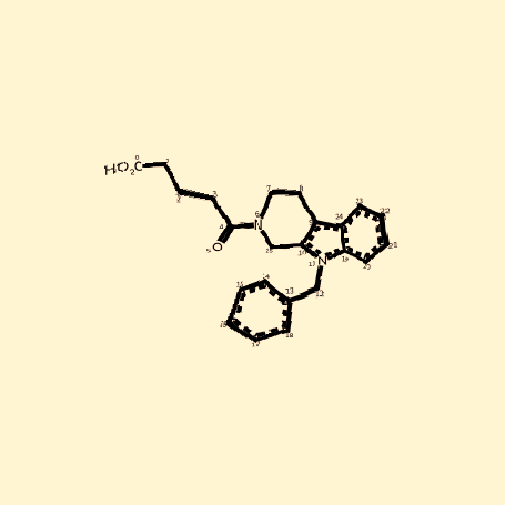 O=C(O)CCCC(=O)N1CCc2c(n(Cc3ccccc3)c3ccccc23)C1